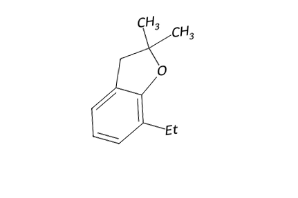 CCc1cccc2c1OC(C)(C)C2